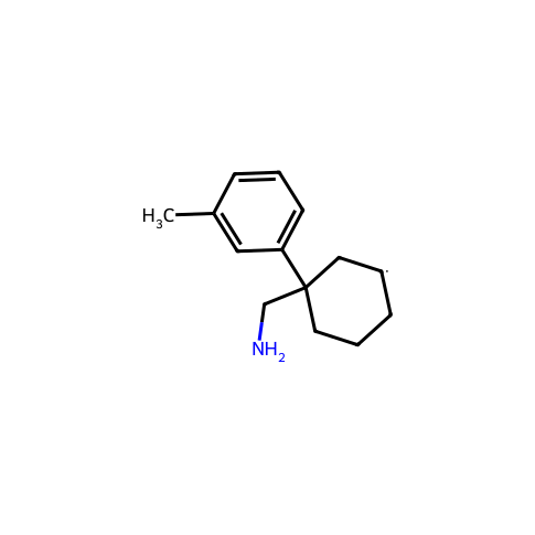 Cc1cccc(C2(CN)C[CH]CCC2)c1